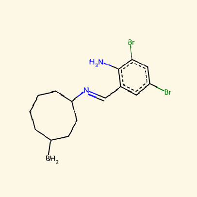 BC1CCCCC(N=Cc2cc(Br)cc(Br)c2N)CC1